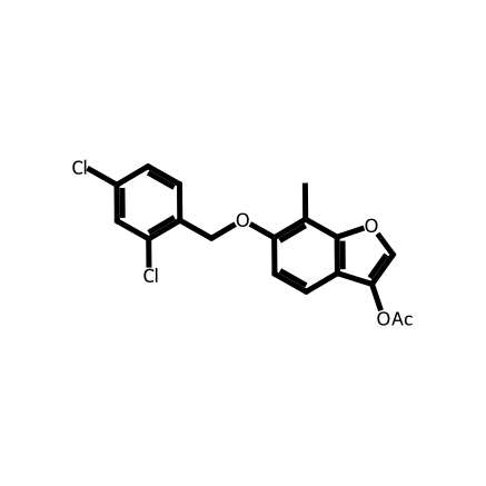 CC(=O)Oc1coc2c(C)c(OCc3ccc(Cl)cc3Cl)ccc12